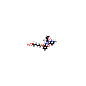 [2H]C([2H])(c1ccco1)N(Cc1ccccc1OCCCCCC(=O)O)C(=O)c1ccc(F)nc1